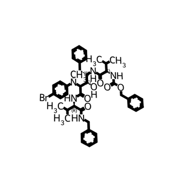 CC(C)[C@H](NC(=O)OCc1ccccc1)C(=O)N[C@@H](Cc1ccccc1)[C@H](O)C(C(=O)N[C@@H](C(=O)NCc1ccccc1)C(C)C)N(C)c1ccc(Br)cc1